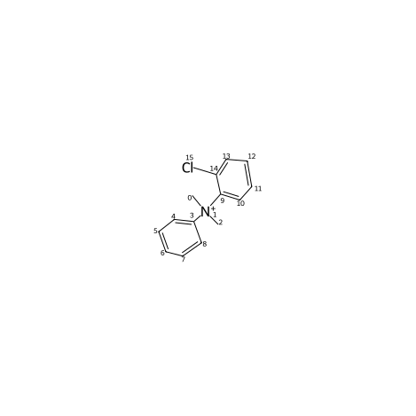 C[N+](C)(c1ccccc1)c1ccccc1Cl